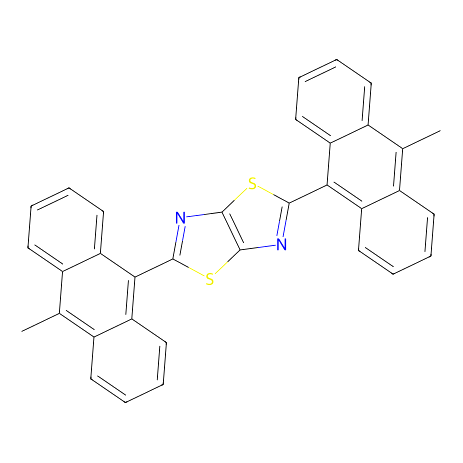 Cc1c2ccccc2c(-c2nc3sc(-c4c5ccccc5c(C)c5ccccc45)nc3s2)c2ccccc12